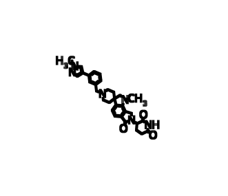 CN1CC2(CCN(Cc3cccc(-c4cnn(C)c4)c3)CC2)c2ccc3c(c21)CN(C1CCC(=O)NC1=O)C3=O